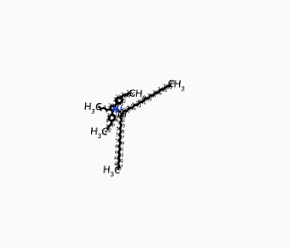 CCCCC1=C(c2ccc(CCCC)cc2)[N+](=[N-])C(c2ccc(CCCC)cc2)=C1.CCCCCCCCCCCCCCCCCC[CH2][Ni][CH2]CCCCCCCCCCCCCCCCCC